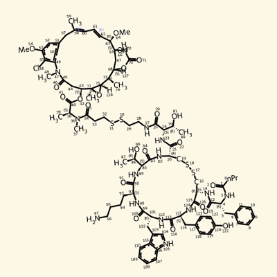 CCCC(=O)N[C@H](Cc1ccccc1)C(=O)N[C@H]1CSSC[C@@H](C(=O)N[C@H](C(=O)NCCSSCCC(=O)N(C)[C@@H](C)C(=O)O[C@H]2CC(=O)N(C)c3cc(cc(OC)c3Cl)C/C(C)=C/C=C/[C@@H](OC)[C@@]3(O)C[C@H](OC(=O)N3)[C@@H](C)[C@@H]3O[C@@]23C)[C@@H](C)O)NC(=O)[C@H]([C@@H](C)O)NC(=O)[C@H](CCCCN)NC(=O)[C@@H](Cc2c[nH]c3ccccc23)NC(=O)[C@H](Cc2ccc(O)cc2)NC1=O